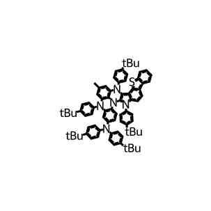 Cc1cc2c3c(c1)N(c1ccc(C(C)(C)C)cc1)c1c(n(-c4ccc(C(C)(C)C)cc4)c4ccc5c6ccccc6sc5c14)N3c1ccc(N(c3ccc(C(C)(C)C)cc3)c3ccc(C(C)(C)C)cc3)cc1N2c1ccc(C(C)(C)C)cc1